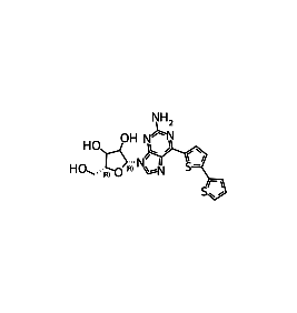 Nc1nc(-c2ccc(-c3cccs3)s2)c2ncn([C@@H]3O[C@H](CO)C(O)C3O)c2n1